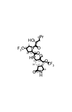 CC(C)C[C@@H](O)C(=O)N1C[C@H](C(F)(F)F)CC1C(=O)N[C@@H](C[C@@H]1CCNC1=O)C(=O)COC(F)(F)F